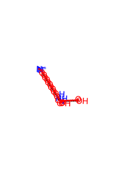 [N-]=[N+]=NCCOCCOCCOCCOCCOCCOCCOCCOCCOCCOCCOCCNC(=O)CCC(NC(=O)CCCCCCCCCCCCCCCCC(=O)O)C(=O)O